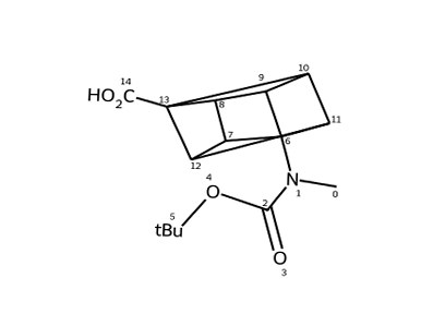 CN(C(=O)OC(C)(C)C)C12C3C4C1C1C2C3C41C(=O)O